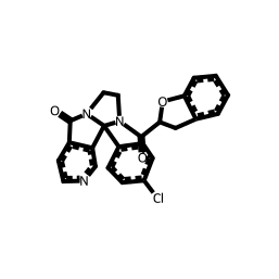 O=C1c2ccncc2C2(c3ccc(Cl)cc3)N1CCN2C(=O)C1Cc2ccccc2O1